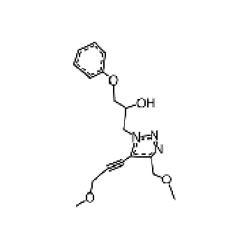 COCC#Cc1c(COC)nnn1CC(O)COc1ccccc1